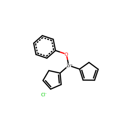 C1=CC[C]([Zr+]([O]c2ccccc2)[C]2=CC=CC2)=C1.[Cl-]